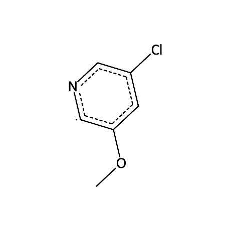 COc1[c]ncc(Cl)c1